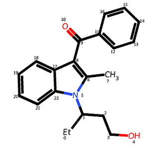 CCC(CCO)n1c(C)c(C(=O)c2ccccc2)c2ccccc21